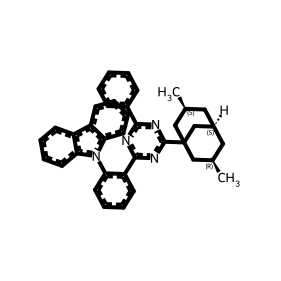 C[C@@H]1C[C@@H]2C[C@H](C)CC(c3nc(-c4ccccc4)nc(-c4ccccc4-n4c5ccccc5c5ccccc54)n3)(C1)C2